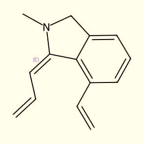 C=C/C=C1\c2c(C=C)cccc2CN1C